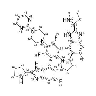 Fc1cc2nc([C@@H]3CCCN3)[nH]c2cc1[C@H]1CC[C@H](c2cc3[nH]c([C@@H]4CCCN4)nc3cc2F)N1c1cc(F)c(N2CCN(c3ncccn3)CC2)c(F)c1